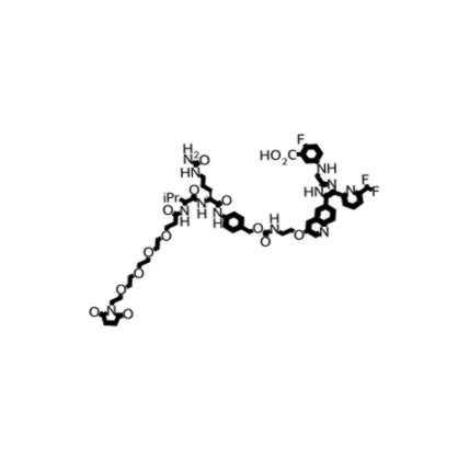 CC(C)C(NC(=O)CCOCCOCCOCCOCCN1C(=O)C=CC1=O)C(=O)N[C@@H](CCCNC(N)=O)C(=O)Nc1ccc(COC(=O)NCCOc2cnc3ccc(-c4[nH]c(CNc5ccc(F)c(C(=O)O)c5)nc4-c4cccc(C(F)F)n4)cc3c2)cc1